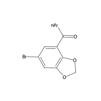 CCCC(=O)c1cc(Br)cc2c1OCO2